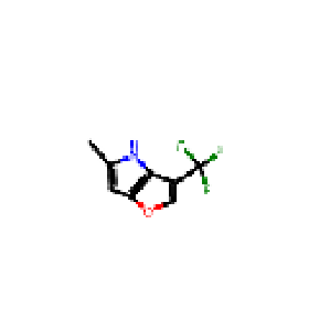 Cc1cc2occ(C(F)(F)F)c2[nH]1